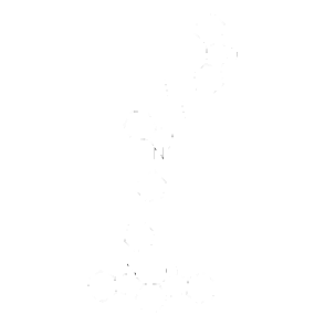 C=C/C(=C\c1c(C)n(-c2ccc(-c3ccc(-n4c5ccccc5c5ccc6c7ccccc7oc6c54)cc3)cc2)c2ccccc12)c1ccc2oc3ccccc3c2c1